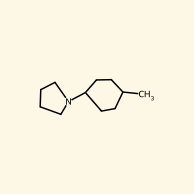 CC1CCC(N2CCCC2)CC1